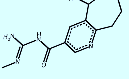 CN=C(N)NC(=O)c1cnc2c(c1)C(O)CCCC2